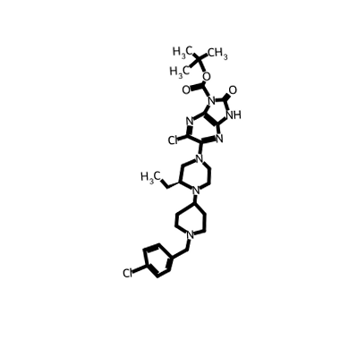 CC[C@H]1CN(c2nc3[nH]c(=O)n(C(=O)OC(C)(C)C)c3nc2Cl)CCN1C1CCN(Cc2ccc(Cl)cc2)CC1